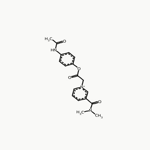 CC(=O)Nc1ccc(OC(=O)C[n+]2cccc(C(=O)N(C)C)c2)cc1